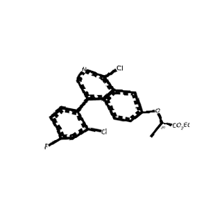 CCOC(=O)[C@@H](C)Oc1ccc2c(-c3ccc(F)cc3Cl)cnc(Cl)c2c1